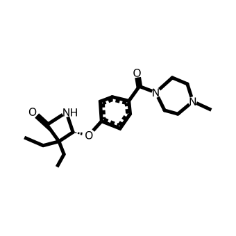 CCC1(CC)C(=O)N[C@@H]1Oc1ccc(C(=O)N2CCN(C)CC2)cc1